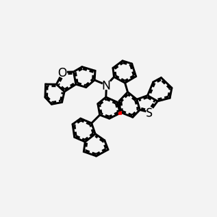 c1cc(-c2cccc3ccccc23)cc(N(c2ccc3oc4ccccc4c3c2)c2ccccc2-c2cccc3sc4ccccc4c23)c1